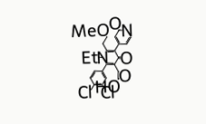 CCn1c(CCOC)c(-c2ccn(C)c(=O)c2)c(=O)c(C2OC2O)c1-c1ccc(Cl)c(Cl)c1